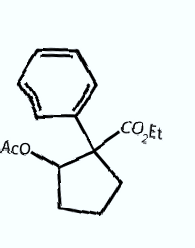 CCOC(=O)C1(c2ccccc2)CCCC1OC(C)=O